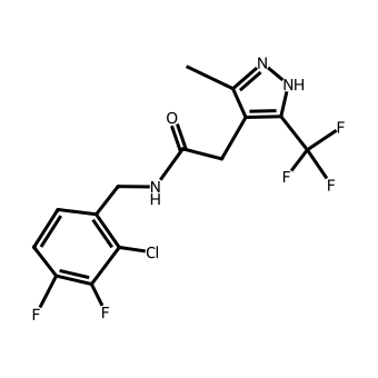 Cc1n[nH]c(C(F)(F)F)c1CC(=O)NCc1ccc(F)c(F)c1Cl